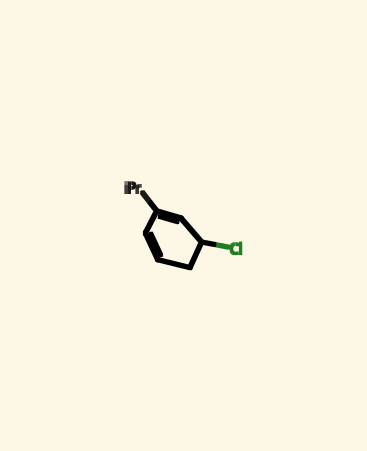 CC(C)C1=CC(Cl)CC=C1